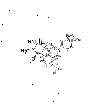 CN1C(=N)N[C@](C)(c2cccc(-c3ccc(F)c(N)c3)c2)C(c2ccc(C3CC3)cc2)C1=O